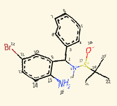 CN(C(c1ccccc1)c1cc(Br)ccc1N)[S+]([O-])C(C)(C)C